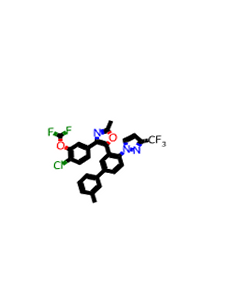 Cc1cccc(-c2ccc(-n3ccc(C(F)(F)F)n3)c(-c3oc(C)nc3-c3ccc(Cl)c(OC(F)F)c3)c2)c1